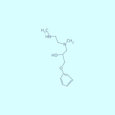 CNCCN(C)CC(O)COc1ccccc1